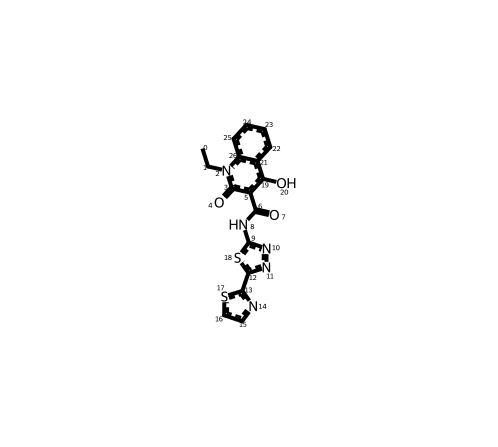 CCn1c(=O)c(C(=O)Nc2nnc(-c3nccs3)s2)c(O)c2ccccc21